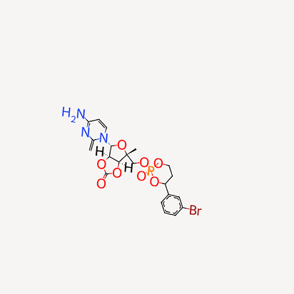 C=C1N=C(N)C=CN1[C@@H]1O[C@](C)(COP2(=O)OCCC(c3cccc(Br)c3)O2)[C@H]2OC(=O)O[C@@H]12